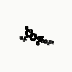 CCOC(=O)C(=O)Nc1ccc2c(C)cc(=O)oc2c1